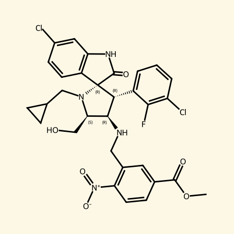 COC(=O)c1ccc([N+](=O)[O-])c(CN[C@H]2[C@@H](CO)N(CC3CC3)[C@]3(C(=O)Nc4cc(Cl)ccc43)[C@@H]2c2cccc(Cl)c2F)c1